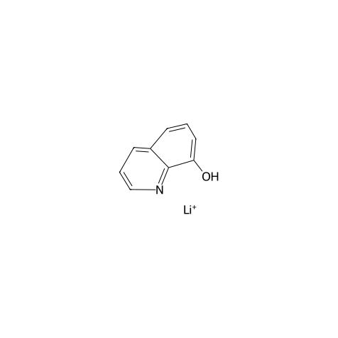 Oc1cccc2cccnc12.[Li+]